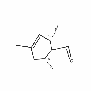 CC1=C[C@H](C)C(C=O)[C@H](C)C1